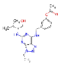 CCn1nnc2c(NCc3cccc(OC(C)=O)c3)nc(NC(CO)C(C)C)nc21